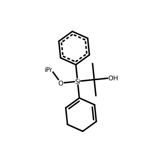 CC(C)O[Si](C1=CCCC=C1)(c1ccccc1)C(C)(C)O